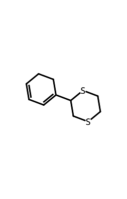 C1=CCCC(C2CSCCS2)=C1